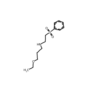 CCOCCCNCCS(=O)(=O)c1ccccc1